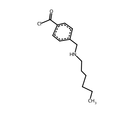 CCCCCCNCc1ccc(C(=O)Cl)cc1